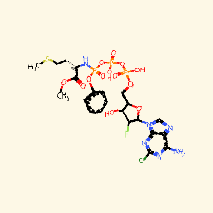 COC(=O)[C@H](CCSC)NP(=O)(Oc1ccccc1)OP(=O)(O)OP(=O)(O)OCC1OC(n2cnc3c(N)nc(Cl)nc32)C(F)C1O